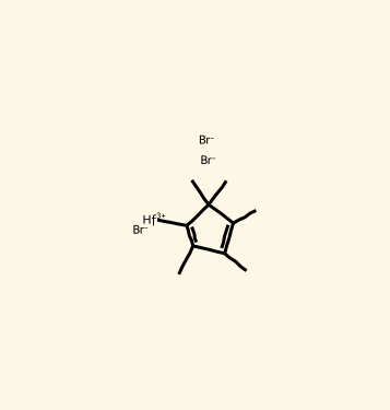 CC1=C(C)C(C)(C)[C]([Hf+3])=C1C.[Br-].[Br-].[Br-]